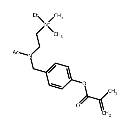 C=C(C)C(=O)Oc1ccc(CN(CC[N+](C)(C)CC)C(C)=O)cc1